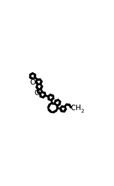 C=C/C=C\c1cccc(-c2ccccccc(-c3cccc(-c4ccc5oc6cc7c(ccc8c9ccccc9oc78)cc6c5c4)c3)c3ccccc23)c1